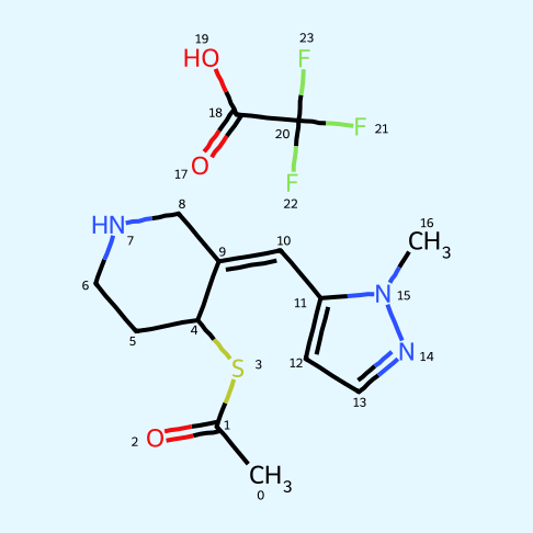 CC(=O)SC1CCNCC1=Cc1ccnn1C.O=C(O)C(F)(F)F